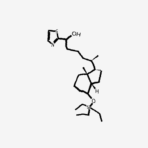 CC[Si](CC)(CC)OC1CCC[C@@]2(C)[C@@H]1CC[C@H]2[C@H](C)CCCC(O)c1nccs1